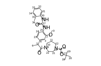 COc1cc(C(C)C(=O)N2CCCN(C(=O)OC(C)(C)C)CC2)ccc1NC(=O)Nc1ccccc1C